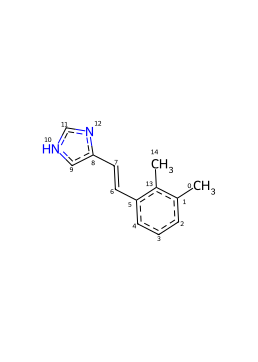 Cc1cccc(C=Cc2c[nH]cn2)c1C